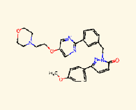 COc1ccc(-c2ccc(=O)n(Cc3cccc(-c4ncc(OCCN5CCOCC5)cn4)c3)n2)cc1